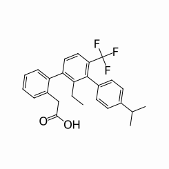 CCc1c(-c2ccccc2CC(=O)O)ccc(C(F)(F)F)c1-c1ccc(C(C)C)cc1